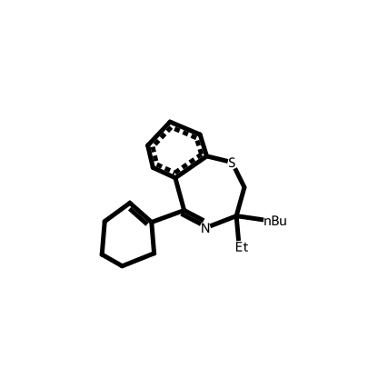 CCCCC1(CC)CSc2ccccc2C(C2=CCCCC2)=N1